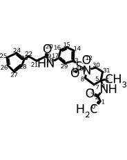 C=CC(=O)NC1(C)CCN(S(=O)(=O)c2cccc(NC(=O)CCc3ccccc3)c2)CC1